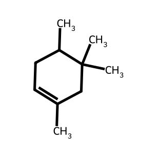 CC1=CCC(C)C(C)(C)C1